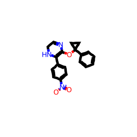 O=[N+]([O-])c1ccc(C2=C(OC3(c4ccccc4)CC3)N=CCN2)cc1